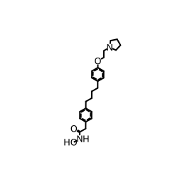 O=C(Cc1ccc(CCCCc2ccc(OCCN3CCCC3)cc2)cc1)NO